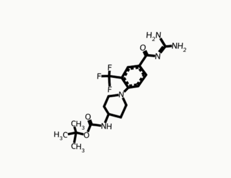 CC(C)(C)OC(=O)NC1CCN(c2ccc(C(=O)N=C(N)N)cc2C(F)(F)F)CC1